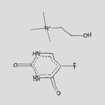 C[N+](C)(C)CCO.O=c1[nH]cc(F)c(=O)[nH]1